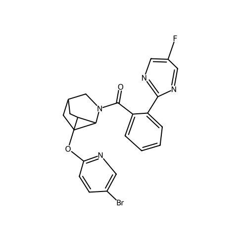 O=C(c1ccccc1-c1ncc(F)cn1)N1CC2CCC1C(Oc1ccc(Br)cn1)C2